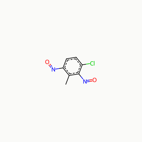 Cc1c(N=O)ccc(Cl)c1N=O